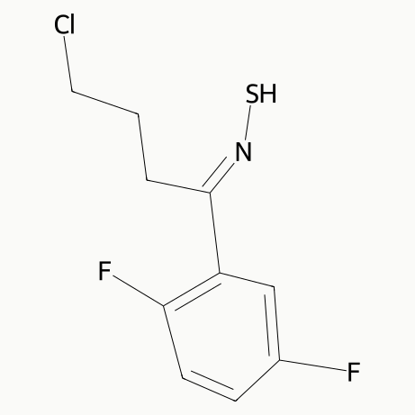 Fc1ccc(F)c(/C(CCCCl)=N/S)c1